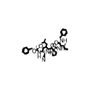 CC[C@H](C)[C@H](NC(=O)[C@]1(C(=O)C(N)C(CC(C)C)C(=O)[C@H](CC#N)NC(=O)OCc2ccccc2)CCCN1C)C(=O)NCc1ccccc1